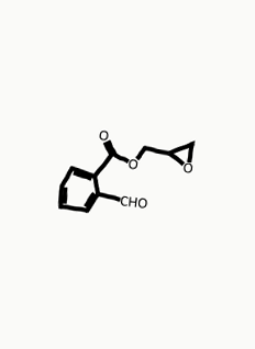 O=Cc1ccccc1C(=O)OCC1CO1